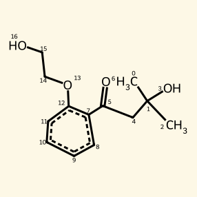 CC(C)(O)CC(=O)c1ccccc1OCCO